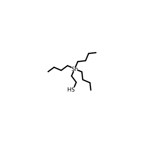 CCC[CH2][Sn]([CH2]CS)([CH2]CCC)[CH2]CCC